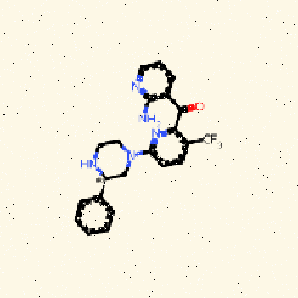 Nc1ncccc1C(=O)c1nc(N2CCN[C@H](c3ccccc3)C2)ccc1C(F)(F)F